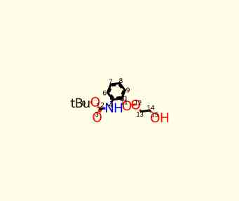 CC(C)(C)OC(=O)Nc1ccccc1OOCCO